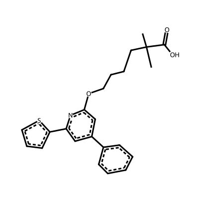 CC(C)(CCCCOc1cc(-c2ccccc2)cc(-c2cccs2)n1)C(=O)O